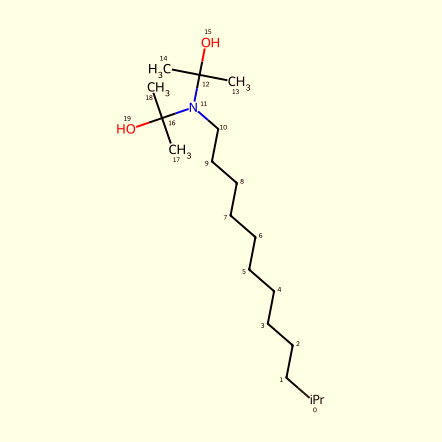 CC(C)CCCCCCCCCCN(C(C)(C)O)C(C)(C)O